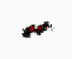 CC1(C)c2ccc(-c3ccc(C4(c5ccccc5)c5ccccc5-c5ccc(N(c6ccccc6-c6cccc7c6C(C)(C)c6ccccc6-7)c6cccc7oc8ccccc8c67)cc54)cc3)cc2-c2cccc(-c3ccccc3N(c3ccc4c(c3)C(c3ccccc3)(c3ccccc3)c3ccccc3-4)c3ccc4sc5ccccc5c4c3)c21